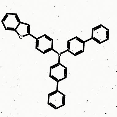 c1ccc(-c2ccc(N(c3ccc(-c4ccccc4)cc3)c3ccc(-c4cc5ccccc5o4)cc3)cc2)cc1